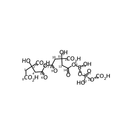 O=C(O)CC(O)(CC(=O)OC(=O)CC(O)(CC(=O)OB(O)OP(=O)(O)OC(=O)O)C(=O)O)C(=O)O